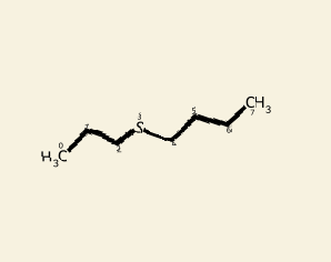 C[CH]CSCCCC